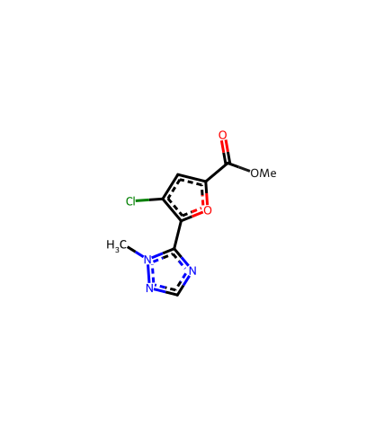 COC(=O)c1cc(Cl)c(-c2ncnn2C)o1